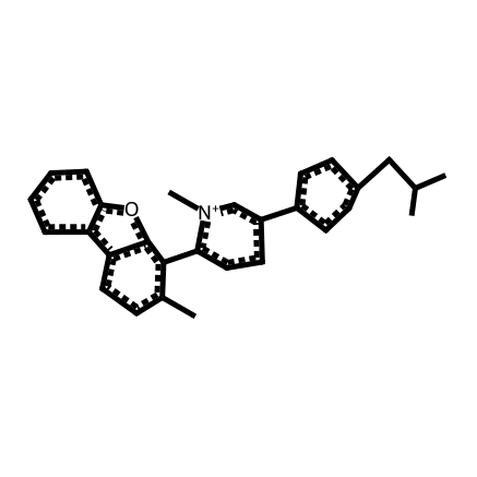 Cc1ccc2c(oc3ccccc32)c1-c1ccc(-c2ccc(CC(C)C)cc2)c[n+]1C